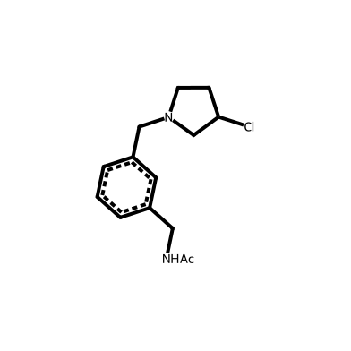 CC(=O)NCc1cccc(CN2CCC(Cl)C2)c1